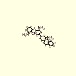 Nc1nc(N2CCC3(CCc4ccccc4C3N)CC2)cnc1Sc1ccnc(N)c1Cl